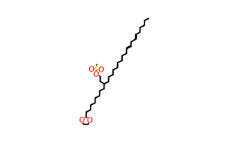 CCCCCC=CCC=CCCCCCCCCCC(CCCCCCCCC1OCCO1)CCOS(C)(=O)=O